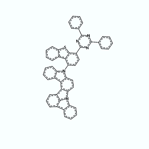 c1ccc(-c2nc(-c3ccccc3)nc(-c3ccc(-n4c5ccccc5c5c6c7cccc8c9ccccc9n(c6ccc54)c87)c4c3sc3ccccc34)n2)cc1